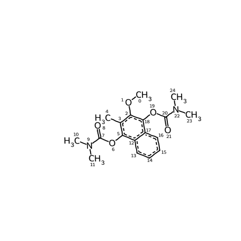 COc1c(C)c(OC(=O)N(C)C)c2ccccc2c1OC(=O)N(C)C